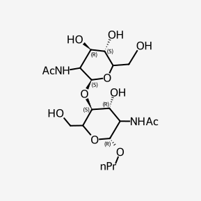 CCCO[C@@H]1OC(CO)[C@@H](O[C@@H]2OC(CO)[C@@H](O)[C@H](O)C2NC(C)=O)[C@H](O)C1NC(C)=O